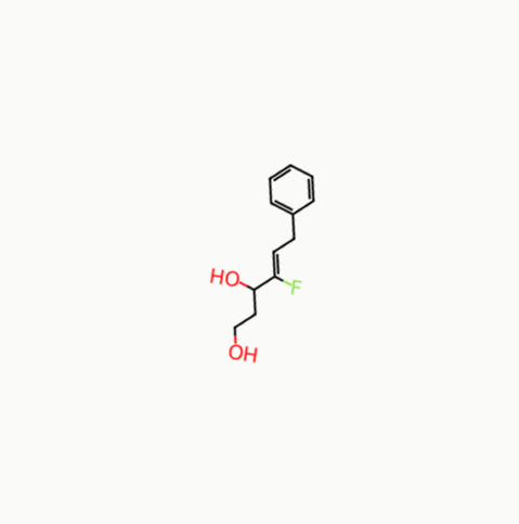 OCCC(O)C(F)=CCc1ccccc1